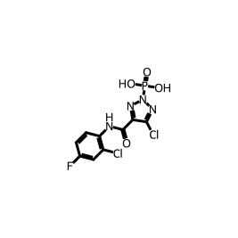 O=C(Nc1ccc(F)cc1Cl)c1nn(P(=O)(O)O)nc1Cl